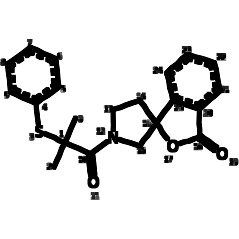 CC(C)(Sc1ccccc1)C(=O)N1CCC2(C1)OC(=O)c1ccccc12